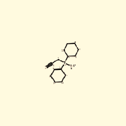 [BH+][P-](CC#C)(C1CCCCC1)C1CCCCC1